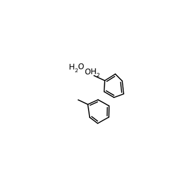 Cc1ccccc1.Cc1ccccc1.O.O